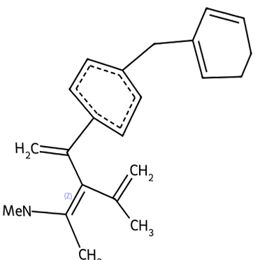 C=C(C)/C(C(=C)c1ccc(CC2=CCCC=C2)cc1)=C(\C)NC